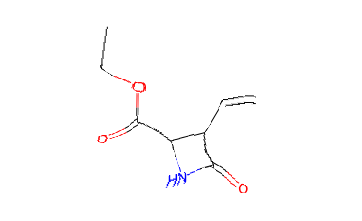 C=CC1C(=O)NC1C(=O)OCC